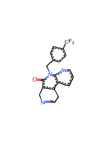 O=c1c2c(c3cccnc3n1Cc1ccc(C(F)(F)F)cc1)CC=NC2